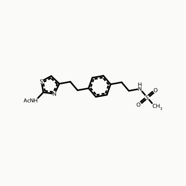 CC(=O)Nc1nc(CCc2ccc(CCNS(C)(=O)=O)cc2)cs1